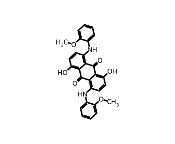 COc1ccccc1Nc1ccc(O)c2c1C(=O)c1c(O)ccc(Nc3ccccc3OC)c1C2=O